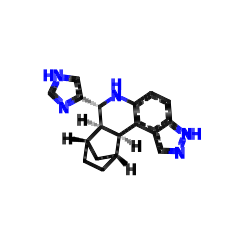 c1nc([C@@H]2Nc3ccc4[nH]ncc4c3[C@H]3[C@@H]4CC[C@@H](C4)[C@H]32)c[nH]1